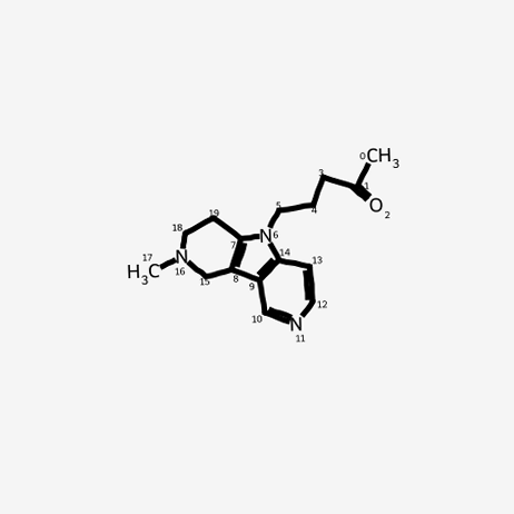 CC(=O)CCCn1c2c(c3cnccc31)CN(C)CC2